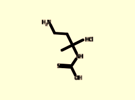 CC(C)(CCN)NC(O)=S.Cl